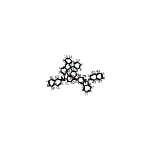 CC1C=CC(C2(c3ccccc3)c3ccccc3-c3ccc4c(c32)c2cc(-c3ccc5c(c3)c3ccccc3n5-c3ccc5ccccc5c3)ccc2n4-c2ccc3ccccc3c2)=CC1